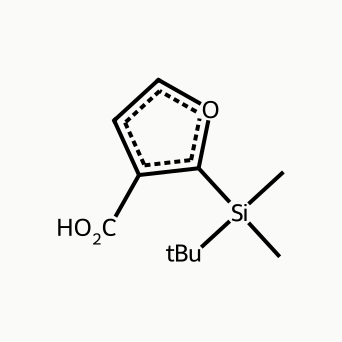 CC(C)(C)[Si](C)(C)c1occc1C(=O)O